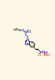 CCCCCN(CC)CCn1cnc2cc(/C=C/C(=O)NO)ccc21